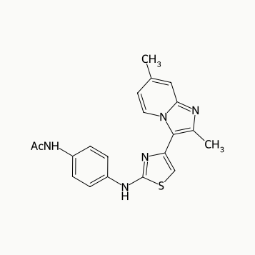 CC(=O)Nc1ccc(Nc2nc(-c3c(C)nc4cc(C)ccn34)cs2)cc1